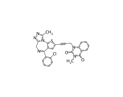 Cc1nnc2n1-c1sc(C#CCn3c(=O)n(C)c(=O)c4ccccc43)cc1C(c1ccccc1Cl)=NC2